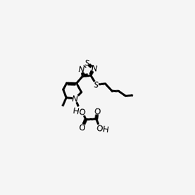 CCCCCSc1nsnc1C1=CCC(C)N(C)C1.O=C(O)C(=O)O